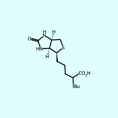 CC(C)(C)C(CCC[C@@H]1SC[C@@H]2NC(=O)N[C@@H]21)C(=O)O